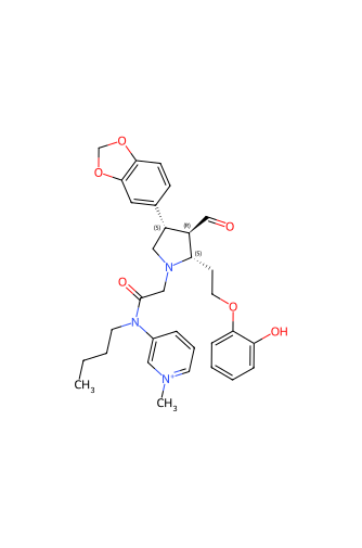 CCCCN(C(=O)CN1C[C@H](c2ccc3c(c2)OCO3)[C@@H](C=O)[C@@H]1CCOc1ccccc1O)c1ccc[n+](C)c1